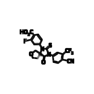 N#Cc1ccc(N2C(=O)[C@]3(CCOC3)N(c3ccc(C(=O)O)c(F)c3)C2=S)cc1C(F)(F)F